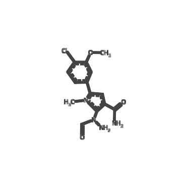 COc1cc(-c2cc(C(N)=O)c(N(N)C=O)n2C)ccc1Cl